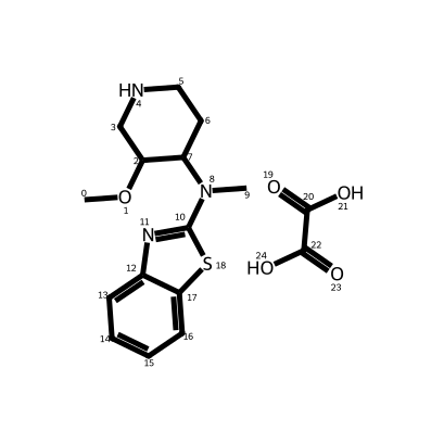 COC1CNCCC1N(C)c1nc2ccccc2s1.O=C(O)C(=O)O